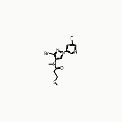 CSCCC(=O)N(C)c1cn(-c2cncc(F)c2)nc1Br